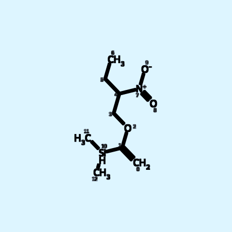 C=C(OCC(CC)[N+](=O)[O-])[SiH](C)C